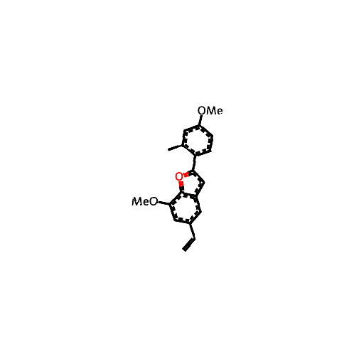 C=Cc1cc(OC)c2oc(-c3ccc(OC)cc3C)cc2c1